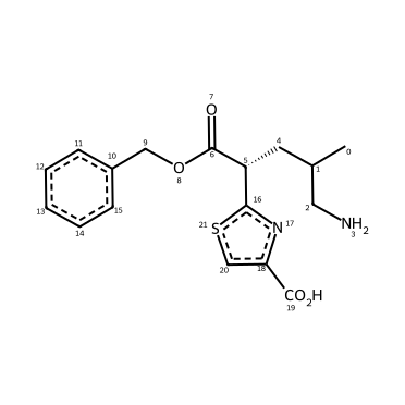 CC(CN)C[C@@H](C(=O)OCc1ccccc1)c1nc(C(=O)O)cs1